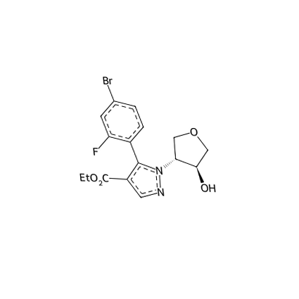 CCOC(=O)c1cnn([C@@H]2COC[C@H]2O)c1-c1ccc(Br)cc1F